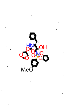 COc1ccc(S(=O)(=O)N(C[C@@H](O)[C@H](Cc2ccccc2)NC(=O)OC2COCOC2)OC2CCCC2)cc1